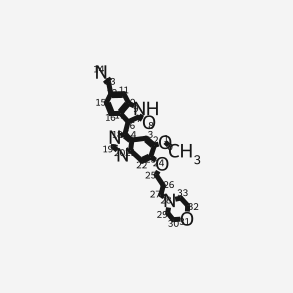 COc1cc2c(C3C(=O)Nc4cc(C#N)ccc43)ncnc2cc1OCCCN1CCOCC1